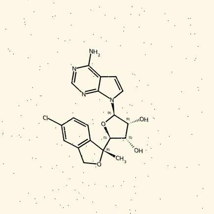 C[C@@]1([C@H]2O[C@@H](n3ccc4c(N)ncnc43)[C@H](O)[C@@H]2O)OCc2cc(Cl)ccc21